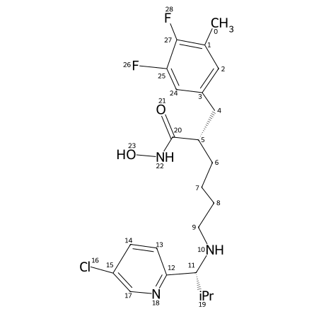 Cc1cc(C[C@H](CCCCN[C@@H](c2ccc(Cl)cn2)C(C)C)C(=O)NO)cc(F)c1F